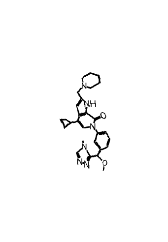 COC(c1cccc(-n2cc(C3CC3)c3cc(CN4CCCCC4)[nH]c3c2=O)c1)c1nncn1C